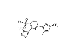 CCS(=O)(=O)c1ccc(-n2nc(C(F)(F)F)cc2C)nc1-c1ccnn1C(F)(F)F